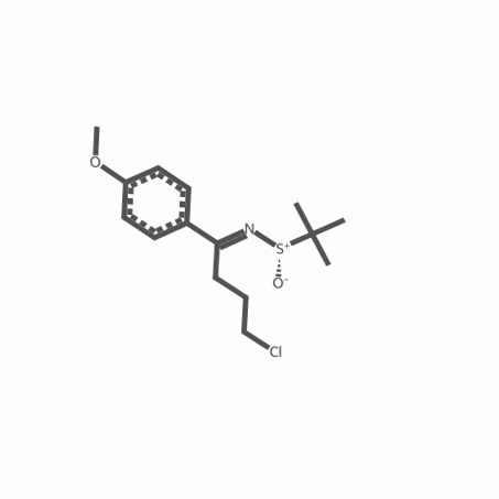 COc1ccc(C(CCCCl)=N[S@@+]([O-])C(C)(C)C)cc1